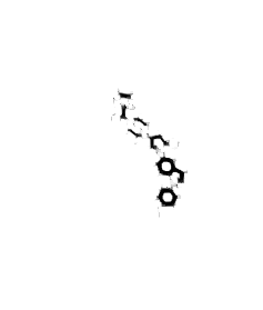 C[C@@H]1CN(C(=O)c2nccs2)CCN1C1CC(=O)N(c2ccc3c(ccn3-c3ccc(F)cc3)c2)C1